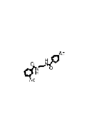 CC(=O)c1ccc(C(=O)NCCNC(=O)c2cccc(C(C)=O)c2)cc1